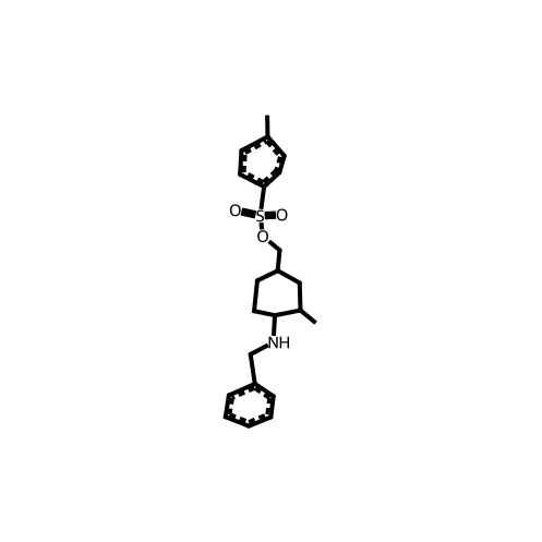 Cc1ccc(S(=O)(=O)OCC2CCC(NCc3ccccc3)C(C)C2)cc1